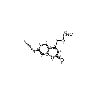 [N-]=[N+]=Nc1ccc2c(COC=O)cc(=O)oc2c1